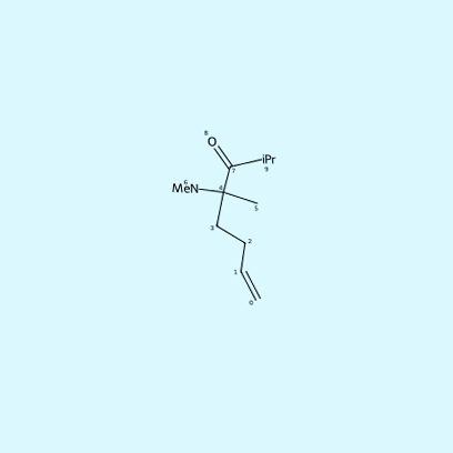 C=CCCC(C)(NC)C(=O)C(C)C